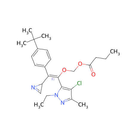 CCCC(=O)OCO/C(=C(\c1ccc(C(C)(C)C)cc1)C1C=N1)c1c(Cl)c(C)nn1CC